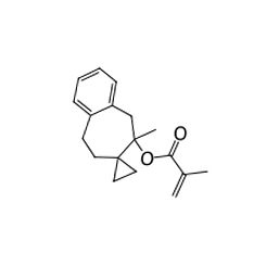 C=C(C)C(=O)OC1(C)Cc2ccccc2CCC12CC2